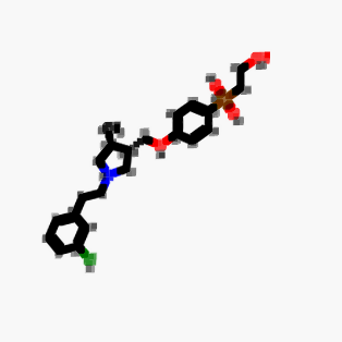 C[C@@H]1CN(CCc2cccc(Cl)c2)C[C@H]1COc1ccc(S(=O)(=O)CCO)cc1